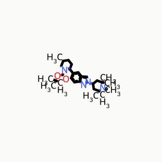 C[C@H]1CCC(c2ccc3nn(C4CC(C)(C)N(C)C(C)(C)C4)cc3c2)=[N+](C(=O)OC(C)(C)C)C1